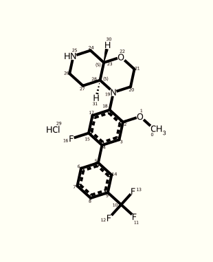 COc1cc(-c2cccc(C(F)(F)F)c2)c(F)cc1N1CCO[C@H]2CNCC[C@@H]21.Cl